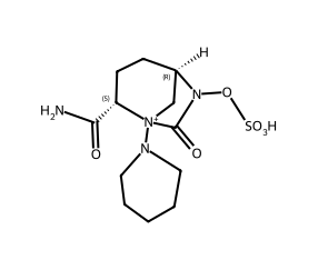 NC(=O)[C@@H]1CC[C@@H]2C[N+]1(N1CCCCC1)C(=O)N2OS(=O)(=O)O